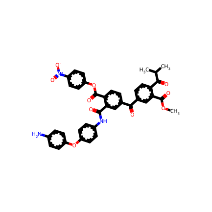 COC(=O)c1cc(C(=O)c2ccc(C(=O)Oc3ccc([N+](=O)[O-])cc3)c(C(=O)Nc3ccc(Oc4ccc(N)cc4)cc3)c2)ccc1C(=O)C(C)C